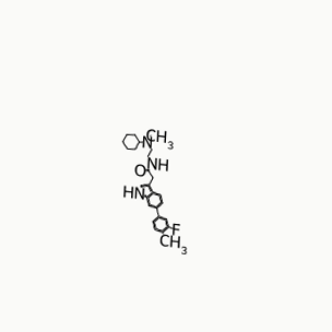 Cc1ccc(-c2ccc3c(CC(=O)NCCN(C)C4CCCCC4)c[nH]c3c2)cc1F